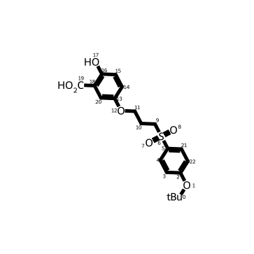 CC(C)(C)Oc1ccc(S(=O)(=O)CCCOc2ccc(O)c(C(=O)O)c2)cc1